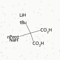 CCCCCC(C(=O)O)(C(=O)O)C(C)(C)C.[LiH].[NaH]